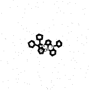 OB1c2ccccc2N(c2ccccc2)c2cccc(-n3c(-c4ccccc4)c(-c4ccccc4)c4ccccc43)c21